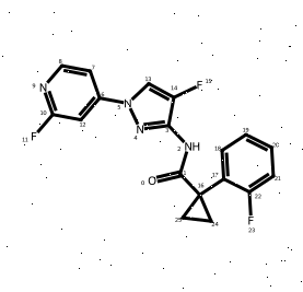 O=C(Nc1nn(-c2ccnc(F)c2)cc1F)C1(c2ccccc2F)CC1